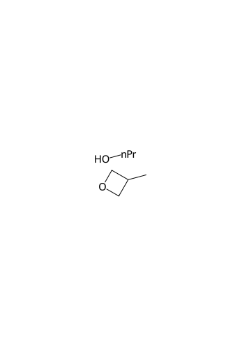 CC1COC1.CCCO